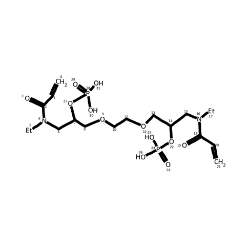 C=CC(=O)N(CC)CC(COCCOCC(CN(CC)C(=O)C=C)OP(=O)(O)O)OP(=O)(O)O